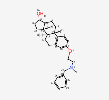 CN(CCOc1ccc2c(c1)CC[C@@H]1[C@@H]2CC[C@]2(C)[C@@H](O)CC[C@@H]12)Cc1ccccc1